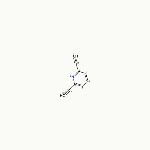 C#Cc1cccc(C#C)n1